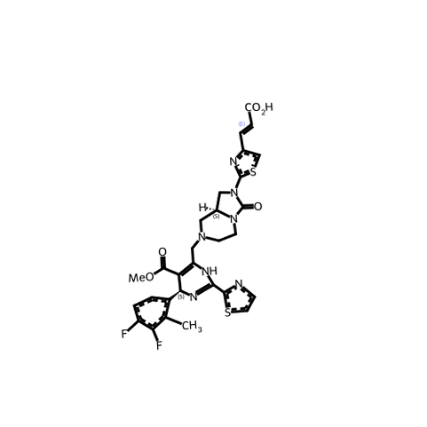 COC(=O)C1=C(CN2CCN3C(=O)N(c4nc(/C=C/C(=O)O)cs4)C[C@@H]3C2)NC(c2nccs2)=N[C@H]1c1ccc(F)c(F)c1C